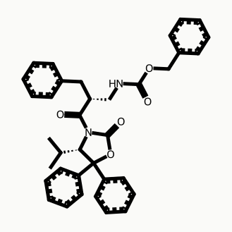 CC(C)[C@@H]1N(C(=O)[C@@H](CNC(=O)OCc2ccccc2)Cc2ccccc2)C(=O)OC1(c1ccccc1)c1ccccc1